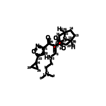 CN(C)CCNCCS(=O)(=O)N1[C@@H]2CC[C@H]1C[C@@H](NC(=O)c1cc(C3CC3)on1)C2